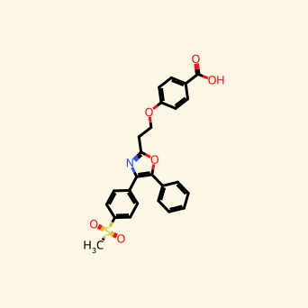 CS(=O)(=O)c1ccc(-c2nc(CCOc3ccc(C(=O)O)cc3)oc2-c2ccccc2)cc1